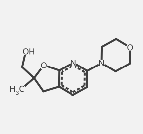 CC1(CO)Cc2ccc(N3CCOCC3)nc2O1